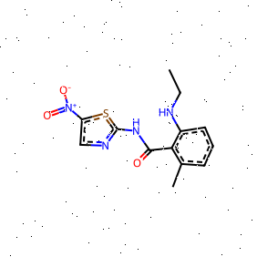 CCNc1cccc(C)c1C(=O)Nc1ncc([N+](=O)[O-])s1